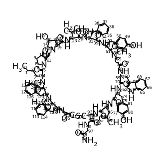 CCCC[C@H]1C(=O)N2CCC[C@@H]2C(=O)N2C[C@H](O)C[C@H]2C(=O)N[C@@H](C(C)C)C(=O)N(C)[C@@H](Cc2ccccc2)C(=O)N[C@@H](Cc2ccc(O)cc2)C(=O)N(C)CC(=O)N[C@@H](Cc2c[nH]c3ccccc23)C(=O)N[C@@H](Cc2ccc(O)cc2)C(=O)N[C@@H](CC(C)C)C(=O)N[C@H](C(=O)NCC(N)=O)CSCC(=O)N[C@@H](Cc2ccccc2)C(=O)N(C)[C@@H](Cc2ccccc2)C(=O)N1C